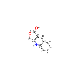 O=C1OCc2nc3ccccc3cc21